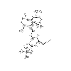 C[C@H]1CC[C@H]2C[C@H](C=O)CC(O)[C@@H]2[C@H]1CC[C@@H]1C[C@@H](O[Si](C)(C)C(C)(C)C)CC(=O)O1